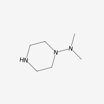 CN(C)N1CCNCC1